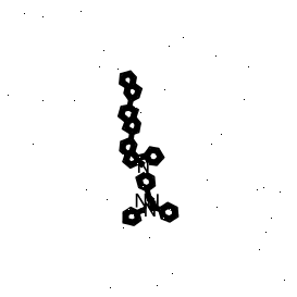 c1ccc(-c2nc(-c3ccccc3)nc(-c3ccc(-n4c5ccccc5c5c6cc(-c7ccc8cc(-c9ccc%10ccccc%10c9)ccc8c7)ccc6ccc54)cc3)n2)cc1